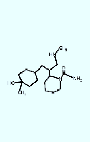 CNCC(CC1CCC(C)(O)CC1)C1CCCCN1C(N)=O